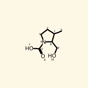 CC1CCN(C(=O)O)C1CO